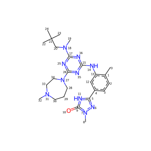 Cc1ccc(-c2nn(C)c(=O)[nH]2)cc1Nc1nc(N(C)CC(C)(C)C)nc(N2CCCN(C)CC2)n1